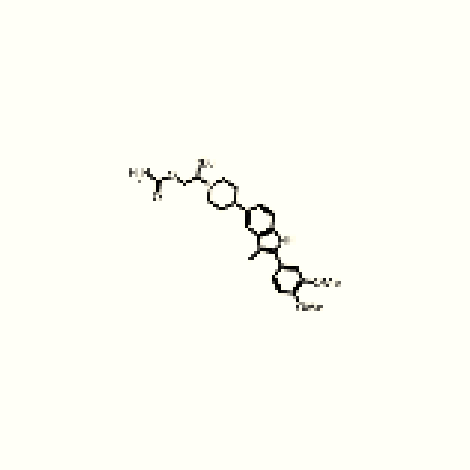 COc1ccc(-c2[nH]c3ccc(C4CCN(C(COC(N)=O)C(C)(C)C)CC4)cc3c2C)cc1OC